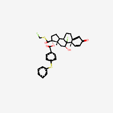 C[C@]12C=CC(=O)C=C1CCC1C3CC[C@](OC(=O)c4ccc(Sc5ccccc5)cc4)(C(=O)SCF)[C@@]3(C)C[C@H](O)C12F